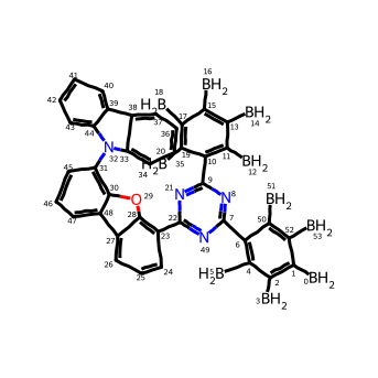 Bc1c(B)c(B)c(-c2nc(-c3c(B)c(B)c(B)c(B)c3B)nc(-c3cccc4c3oc3c(-n5c6ccccc6c6ccccc65)cccc34)n2)c(B)c1B